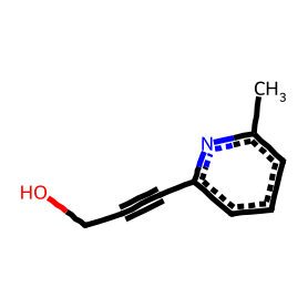 Cc1cccc(C#CCO)n1